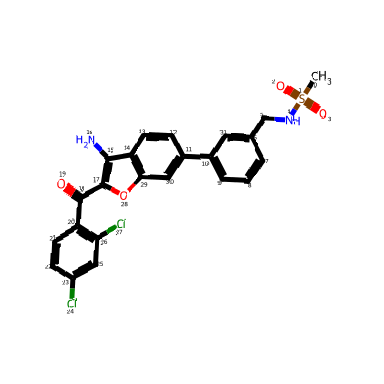 CS(=O)(=O)NCc1cccc(-c2ccc3c(N)c(C(=O)c4ccc(Cl)cc4Cl)oc3c2)c1